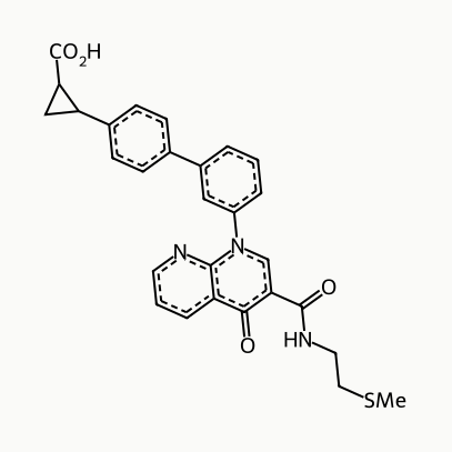 CSCCNC(=O)c1cn(-c2cccc(-c3ccc(C4CC4C(=O)O)cc3)c2)c2ncccc2c1=O